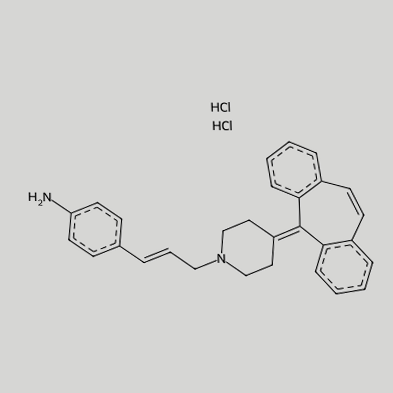 Cl.Cl.Nc1ccc(C=CCN2CCC(=C3c4ccccc4C=Cc4ccccc43)CC2)cc1